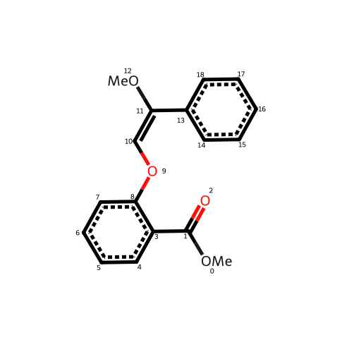 COC(=O)c1ccccc1O/C=C(/OC)c1ccccc1